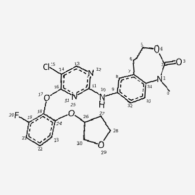 CN1C(=O)OCCc2cc(Nc3ncc(Cl)c(Oc4c(F)cccc4OC4CCOC4)n3)ccc21